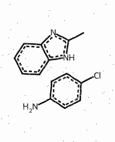 Cc1nc2ccccc2[nH]1.Nc1ccc(Cl)cc1